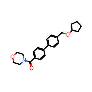 O=C(c1ccc(-c2ccc(COC3CCCC3)cc2)cc1)N1CCOCC1